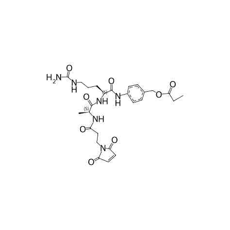 CCC(=O)OCc1ccc(NC(=O)[C@H](CCCNC(N)=O)NC(=O)[C@H](C)NC(=O)CCN2C(=O)C=CC2=O)cc1